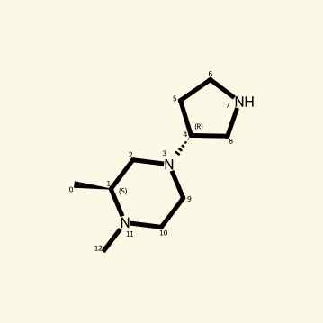 C[C@H]1CN([C@@H]2CCNC2)CCN1C